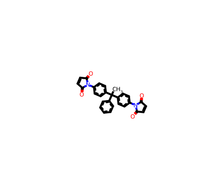 CC(c1ccccc1)(c1ccc(N2C(=O)C=CC2=O)cc1)c1ccc(N2C(=O)C=CC2=O)cc1